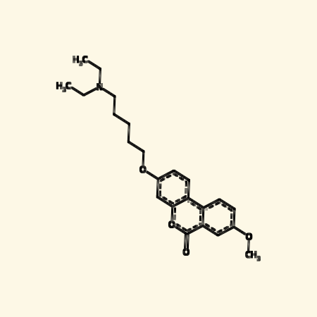 CCN(CC)CCCCCOc1ccc2c(c1)oc(=O)c1cc(OC)ccc12